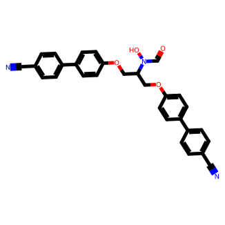 N#Cc1ccc(-c2ccc(OCC(COc3ccc(-c4ccc(C#N)cc4)cc3)N(O)C=O)cc2)cc1